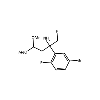 COC(CC(N)(CF)c1cc(Br)ccc1F)OC